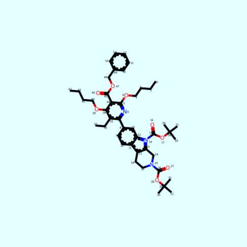 CCCCOc1nc(-c2ccc3c4c(n(C(=O)OC(C)(C)C)c3c2)CN(C(=O)OC(C)(C)C)CC4)c(CC)c(OCCCC)c1C(=O)OCc1ccccc1